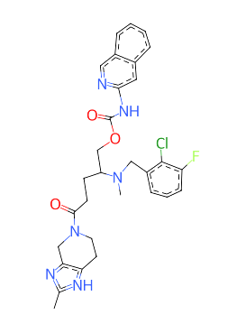 Cc1nc2c([nH]1)CCN(C(=O)CCC(COC(=O)Nc1cc3ccccc3cn1)N(C)Cc1cccc(F)c1Cl)C2